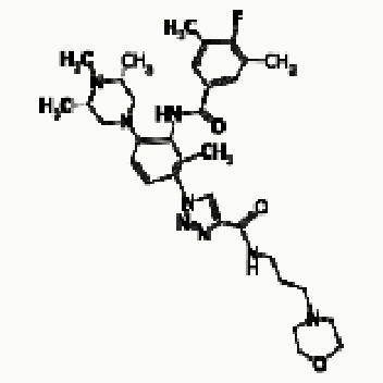 Cc1cc(C(=O)Nc2c(N3C[C@@H](C)N(C)[C@@H](C)C3)ccc(-n3cc(C(=O)NCCCN4CCOCC4)nn3)c2C)cc(C)c1F